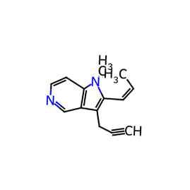 C#CCc1c(/C=C\C)n(C)c2ccncc12